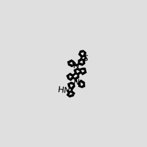 c1ccc(N(c2ccc3[nH]c4ccccc4c3c2)c2cc3c4ccccc4c(N(c4ccccc4)c4ccc5sc6ccccc6c5c4)cc3c3ccccc23)cc1